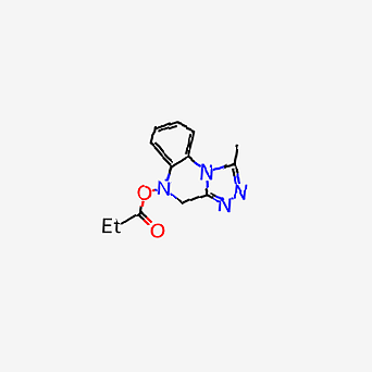 CCC(=O)ON1Cc2nnc(C)n2-c2ccccc21